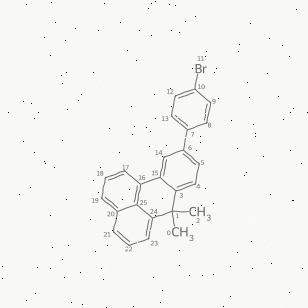 CC1(C)c2ccc(-c3ccc(Br)cc3)cc2-c2cccc3cccc1c23